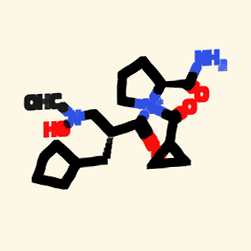 NC(=O)[C@@H]1CCC[N+]1(C(=O)C1CC1)C(=O)[C@H](CC1CCCC1)CN(O)C=O